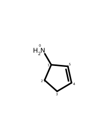 NC1[CH]CC=C1